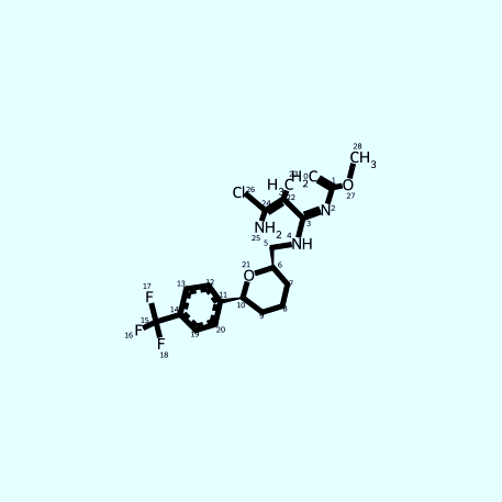 C=C(/N=C(NC[C@H]1CCC[C@@H](c2ccc(C(F)(F)F)cc2)O1)\C(C)=C(/N)Cl)OC